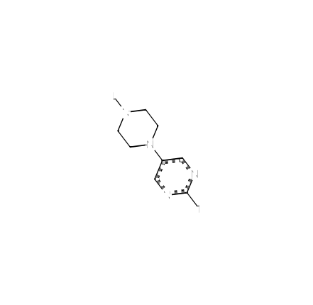 Ic1ncc(N2CCN(I)CC2)cn1